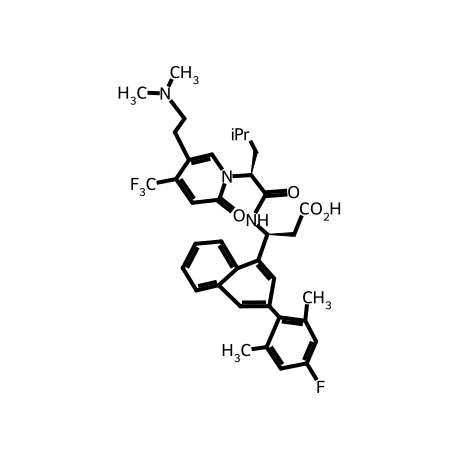 Cc1cc(F)cc(C)c1-c1cc([C@H](CC(=O)O)NC(=O)[C@H](CC(C)C)n2cc(CCN(C)C)c(C(F)(F)F)cc2=O)c2ccccc2c1